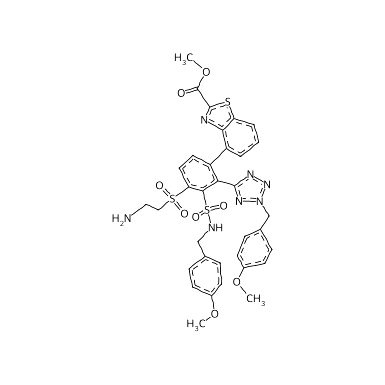 COC(=O)c1nc2c(-c3ccc(S(=O)(=O)CCN)c(S(=O)(=O)NCc4ccc(OC)cc4)c3-c3nnn(Cc4ccc(OC)cc4)n3)cccc2s1